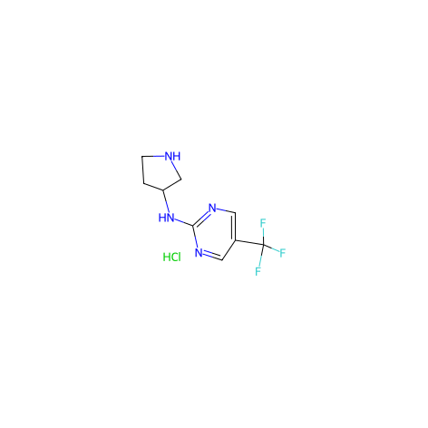 Cl.FC(F)(F)c1cnc(NC2CCNC2)nc1